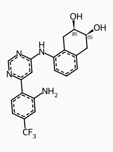 Nc1cc(C(F)(F)F)ccc1-c1cc(Nc2cccc3c2C[C@@H](O)[C@@H](O)C3)ncn1